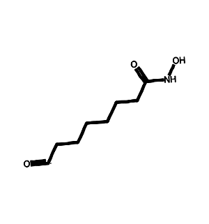 O=[C]CCCCCCC(=O)NO